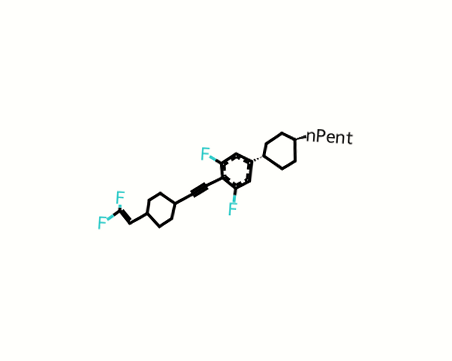 CCCCC[C@H]1CC[C@H](c2cc(F)c(C#CC3CCC(C=C(F)F)CC3)c(F)c2)CC1